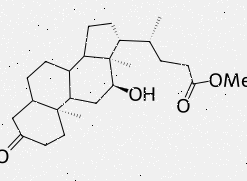 COC(=O)CC[C@@H](C)[C@H]1CCC2C3CCC4CC(=O)CC[C@]4(C)C3C[C@H](O)[C@@]21C